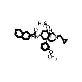 COc1cccc([C@@]23CCN(CC4CC4)C[C@H]2C(OC)C[C@H](NC(=O)c2ccc4ccccc4c2)C3)c1